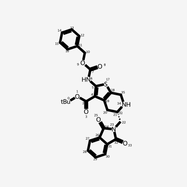 CC(C)(C)OC(=O)c1c(NC(=O)OCc2ccccc2)sc2c1C[C@@H](CN1C(=O)c3ccccc3C1=O)NC2